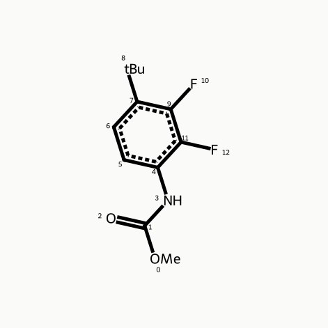 COC(=O)Nc1ccc(C(C)(C)C)c(F)c1F